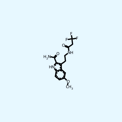 COc1ccc2[nH]c(C(N)=O)c(CCNC(=O)CC(F)(F)F)c2c1